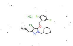 CNCc1nn(CC2CCCCC2)c(OCc2cc(F)ccc2F)c1Cl.Cl